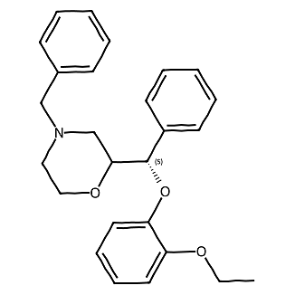 CCOc1ccccc1O[C@@H](c1ccccc1)C1CN(Cc2ccccc2)CCO1